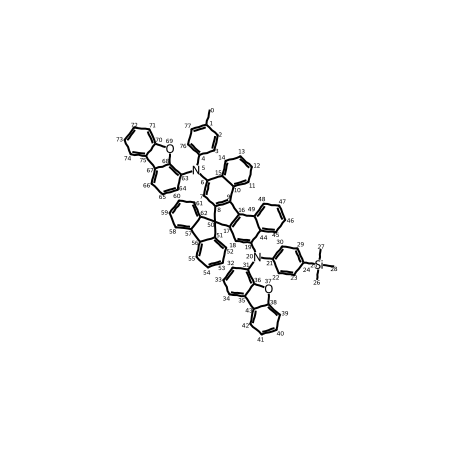 Cc1ccc(N(c2cc3c(c4ccccc24)-c2c(cc(N(c4ccc([Si](C)(C)C)cc4)c4cccc5c4oc4ccccc45)c4ccccc24)C32c3ccccc3-c3ccccc32)c2cccc3c2oc2ccccc23)cc1